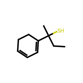 CCC(C)(S)C1=CC=CCC1